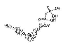 O.O.O.O.O.O.O.O.O.O=P(O)(O)OP(=O)(O)O.[NaH].[NaH].[NaH]